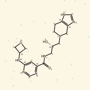 O=C(NC[C@H](O)CN1CCc2[nH]cnc2C1)c1cc(NC2COC2)ncn1